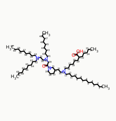 CCCCCCCCCCCCCCN(CCCCCCC(CCCCC)C(=O)O)CCC1CCCN(C(=O)CN(CCCCCCCCC)CCN(CCCCCCCCC)CCCCCCCCC)C1